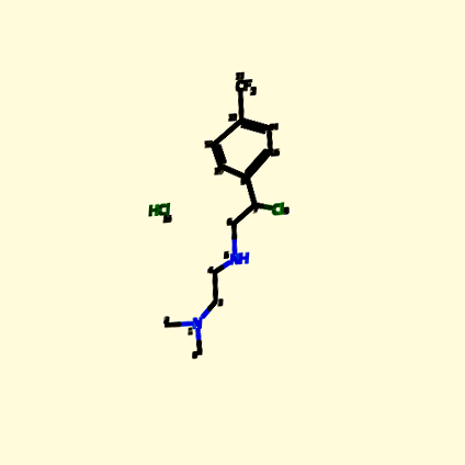 CN(C)CCNCC(Cl)c1ccc(C(F)(F)F)cc1.Cl